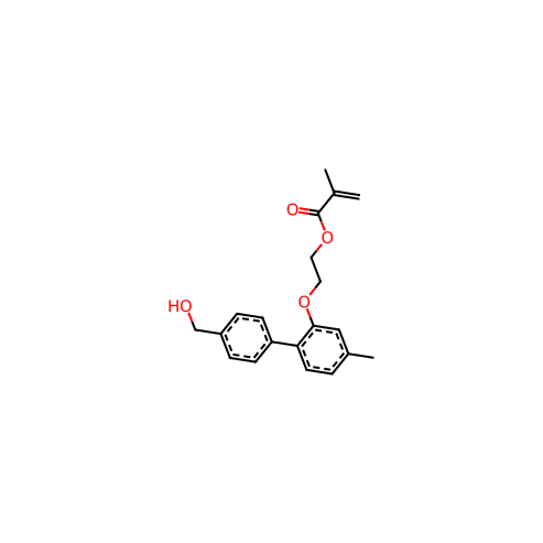 C=C(C)C(=O)OCCOc1cc(C)ccc1-c1ccc(CO)cc1